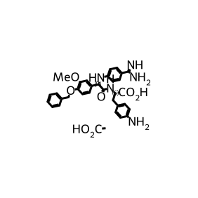 CC(=O)O.COc1cc([C@@H](Nc2ccc(C(=N)N)cc2)C(=O)N[C@@H](Cc2ccc(N)cc2)C(=O)O)ccc1OCc1ccccc1